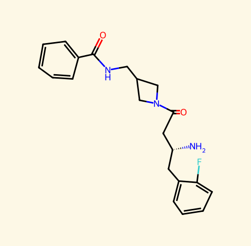 N[C@@H](CC(=O)N1CC(CNC(=O)c2ccccc2)C1)Cc1ccccc1F